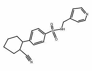 N#CC1CCCCC1c1c[c]c(S(=O)(=O)NCc2ccncc2)cc1